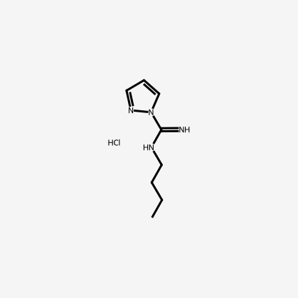 CCCCNC(=N)n1cccn1.Cl